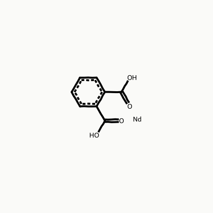 O=C(O)c1ccccc1C(=O)O.[Nd]